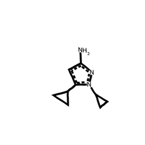 Nc1cc(C2CC2)n(C2CC2)n1